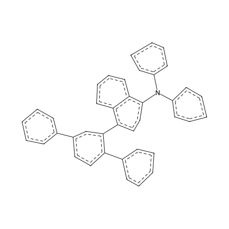 c1ccc(-c2ccc(-c3ccccc3)c(-c3ccc(N(c4ccccc4)c4ccccc4)c4ccccc34)c2)cc1